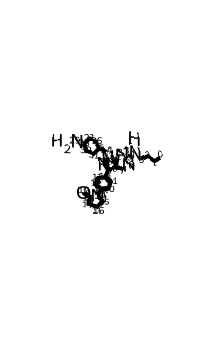 CCCCNc1ncc2c(-c3ccc(N4CCCC4=O)cc3)nn(CC3CCC(N)CC3)c2n1